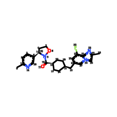 Cc1ccc([C@@H]2CCON2C(=O)[C@H]2CC[C@H](Cc3cc(F)c4nc(C)cn4c3)CC2)cn1